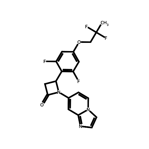 CC(F)(F)COc1cc(F)c(C2CC(=O)N2c2ccn3ccnc3c2)c(F)c1